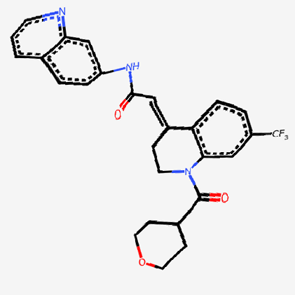 O=C(/C=C1\CCN(C(=O)C2CCOCC2)c2cc(C(F)(F)F)ccc21)Nc1ccc2cccnc2c1